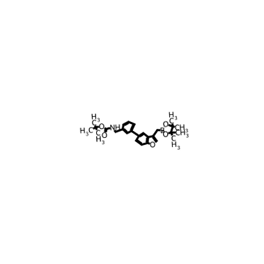 CC(C)(C)OC(=O)NCc1cccc(-c2ccc3occ(CB4OC(C)(C)C(C)(C)O4)c3c2)c1